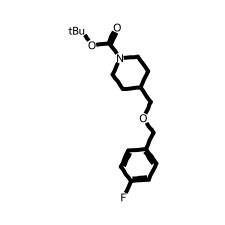 CC(C)(C)OC(=O)N1CCC(COCc2ccc(F)cc2)CC1